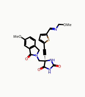 COC/N=C/c1ccc(C#C[C@]2(CN3Cc4ccc(OC)cc4C3=O)NC(=O)NC2=O)s1